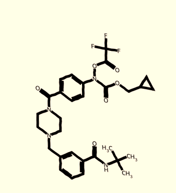 CC(C)(C)NC(=O)c1cccc(CN2CCN(C(=O)c3ccc(N(OC(=O)C(F)(F)F)C(=O)OCC4CC4)cc3)CC2)c1